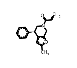 C=CC(=O)N1Cc2oc(C)cc2[C@@H](c2ccccc2)C1